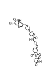 CCc1cc2ncc(CN3CCN(c4ccc(C(=O)NC5CC(Oc6ccc7c(c6)C(=O)N(C6CCC(=O)NC6=O)C7=O)C5)nc4)CC3)cc2[nH]c1=O